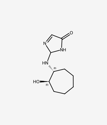 O=C1C=NC(N[C@@H]2CCCCC[C@H]2O)N1